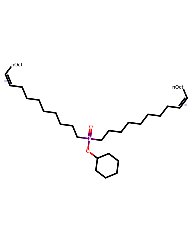 CCCCCCCC/C=C\CCCCCCCCP(=O)(CCCCCCCC/C=C\CCCCCCCC)OC1CCCCC1